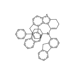 C1=C(c2ccccc2)CCC(N(C2=CCCc3sc4ccc5c(c4c32)-c2ccc3ccccc3c2C5)c2cccc3c2Cc2ccccc2-3)=C1